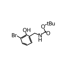 CC(C)(C)OC(=O)NCc1cccc(Br)c1O